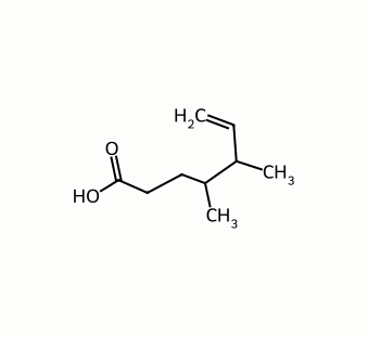 C=CC(C)C(C)CCC(=O)O